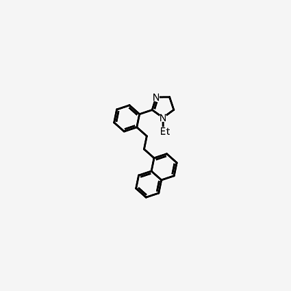 CCN1CCN=C1c1ccccc1CCc1cccc2ccccc12